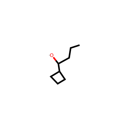 CCCC([O])C1CCC1